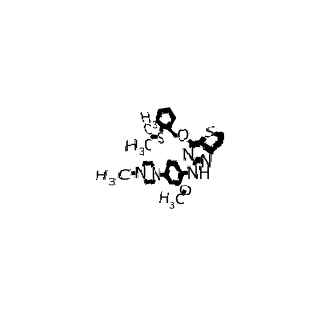 COc1cc(N2CCN(C)CC2)ccc1Nc1nc(OCc2ccccc2SC(C)C)c2sccc2n1